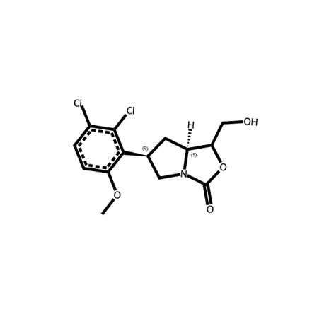 COc1ccc(Cl)c(Cl)c1[C@H]1C[C@H]2C(CO)OC(=O)N2C1